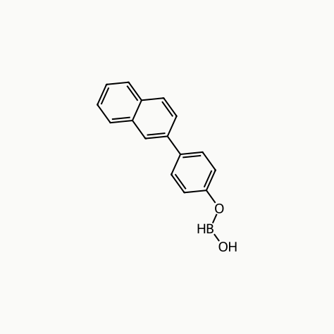 OBOc1ccc(-c2ccc3ccccc3c2)cc1